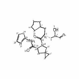 O=CN(O)C[C@@H](CC1CCCC1)C(=O)N1CC2(CC2)C[C@H]1C(=O)Nc1nccs1